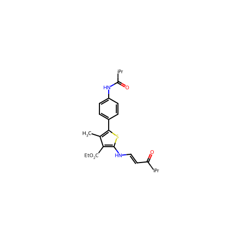 CCOC(=O)c1c(N/C=C/C(=O)C(C)C)sc(-c2ccc(NC(=O)C(C)C)cc2)c1C